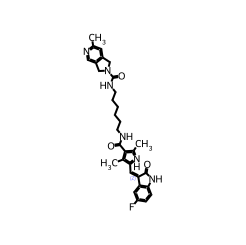 Cc1cc2c(cn1)CN(C(=O)NCCCCCCNC(=O)c1c(C)[nH]c(/C=C3\C(=O)Nc4ccc(F)cc43)c1C)C2